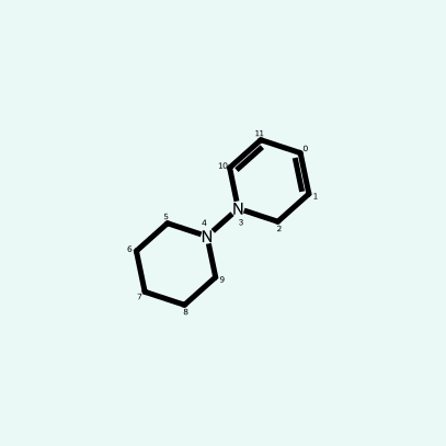 C1=CCN(N2CCCCC2)C=C1